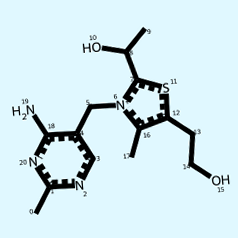 Cc1ncc(C[n+]2c(C(C)O)sc(CCO)c2C)c(N)n1